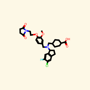 COc1cc(CN(CC2CCC(C(=O)O)CC2)C2CCc3cc(Cl)c(F)cc32)ccc1OCCN1C(=O)CCC1=O